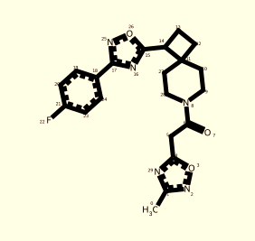 Cc1noc(CC(=O)N2CCC3(CCC3c3nc(-c4ccc(F)cc4)no3)CC2)n1